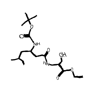 CCOC(=O)C(O)NC(=O)CC(CC(C)C)NC(=O)OC(C)(C)C